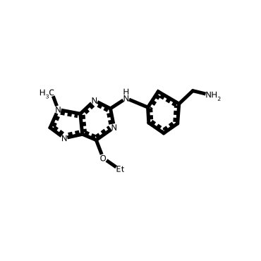 CCOc1nc(Nc2cccc(CN)c2)nc2c1ncn2C